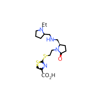 CCN1CCCC1CNC[C@H]1CCC(=O)N1CCSc1nc(C(=O)O)cs1